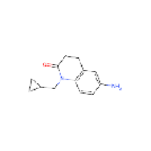 Nc1ccc2c(c1)CCC(=O)N2CC1CC1